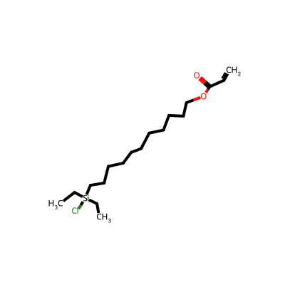 C=CC(=O)OCCCCCCCCCCC[Si](Cl)(CC)CC